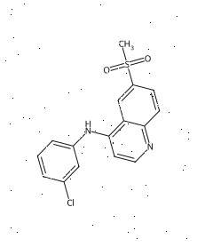 CS(=O)(=O)c1ccc2nccc(Nc3cccc(Cl)c3)c2c1